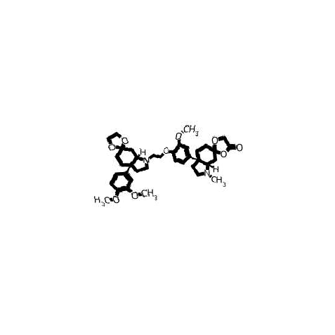 COc1ccc([C@]23CCN(CCOc4ccc([C@]56CCN(C)[C@H]5CC5(CC6)OCC(=O)O5)cc4OC)[C@H]2CC2(CC3)OCCO2)cc1OC